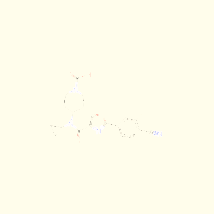 N#Cc1ccc(-c2nc(C(=O)N(C3CC3)C3CCN(C(=O)O)CC3)co2)cc1F